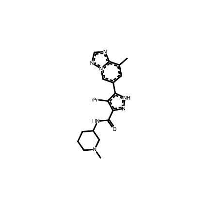 Cc1cc(-c2[nH]nc(C(=O)NC3CCCN(C)C3)c2C(C)C)cn2ncnc12